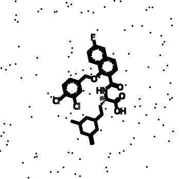 C=C1CC(C)CC(CC[C@H](NC(=O)c2ccc3cc(F)ccc3c2OCc2ccc(Cl)c(Cl)c2)C(=O)O)C1